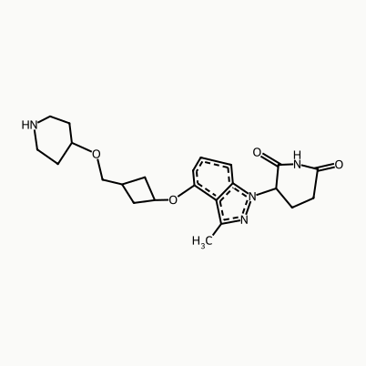 Cc1nn(C2CCC(=O)NC2=O)c2cccc(OC3CC(COC4CCNCC4)C3)c12